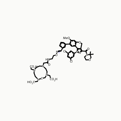 COc1cc2c(cc1-c1cccc(/C=N/OCCNC(=O)CN3CCN(CC(=O)O)CCN(CC(=O)O)CCN(CC(=O)O)CC3)c1)-c1c(c(C(=O)N3CCOCC3(C)C)nn1-c1cc(Cl)cc(Cl)c1)CO2